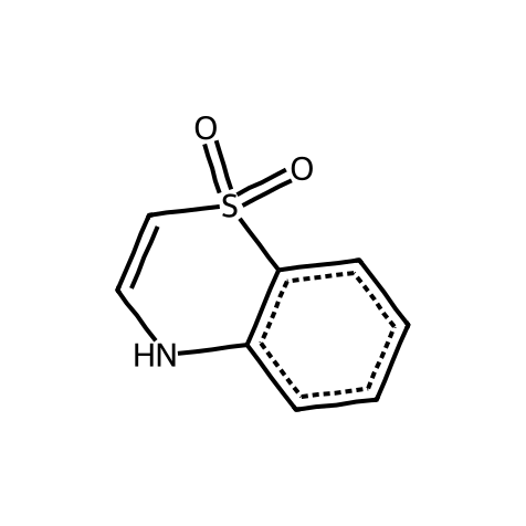 O=S1(=O)C=CNc2ccccc21